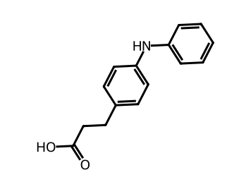 O=C(O)CCc1ccc(Nc2ccccc2)cc1